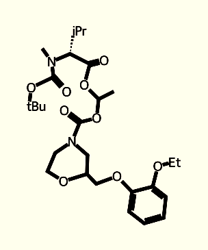 CCOc1ccccc1OCC1CN(C(=O)OC(C)OC(=O)[C@@H](C(C)C)N(C)C(=O)OC(C)(C)C)CCO1